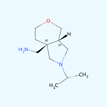 CC(C)N1C[C@H]2COCC[C@@]2(CN)C1